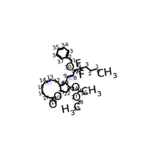 CCCCC(F)(F)[C@@H](/C=C/[C@@H]1C2C/C=C\CCCC(=O)OC2C[C@H]1OC(C)OCC)OCc1ccccc1